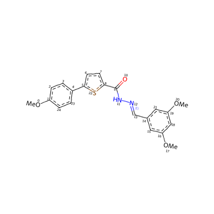 COc1ccc(-c2ccc(C(=O)N/N=C/c3cc(OC)cc(OC)c3)s2)cc1